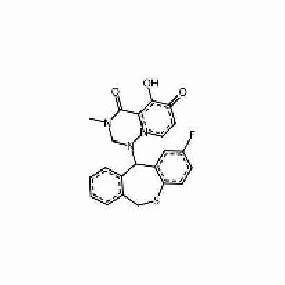 CN1CN(C2c3ccccc3CSc3ccc(F)cc32)n2ccc(=O)c(O)c2C1=O